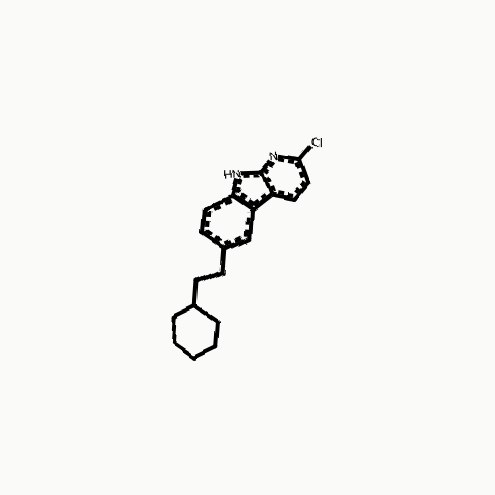 Clc1ccc2c(n1)[nH]c1ccc(CCC3CCCCC3)cc12